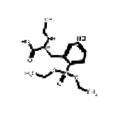 CCN[C@@H](Cc1ccccc1P(=O)(OCC)OCC)C(=O)O.Cl